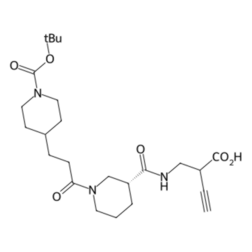 C#CC(CNC(=O)[C@@H]1CCCN(C(=O)CCC2CCN(C(=O)OC(C)(C)C)CC2)C1)C(=O)O